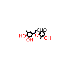 Cc1cc(/C(=C/C=O)Oc2cccc(O)c2C)cc(O)c1O